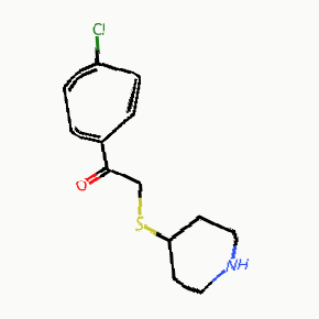 O=C(CSC1CCNCC1)c1ccc(Cl)cc1